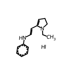 CCN1CCC=C1C=CNc1ccccc1.I